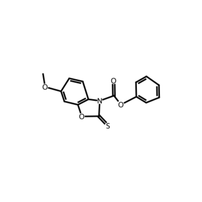 COc1ccc2c(c1)oc(=S)n2C(=O)Oc1ccccc1